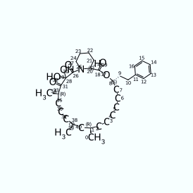 C[C@@H]1CCCCCC[C@@H](CCc2ccccc2)OC(=O)[C@@H]2CCCCN2C(=O)C(O)(O)C(=O)[C@H](C)CCC[C@H](C)C1